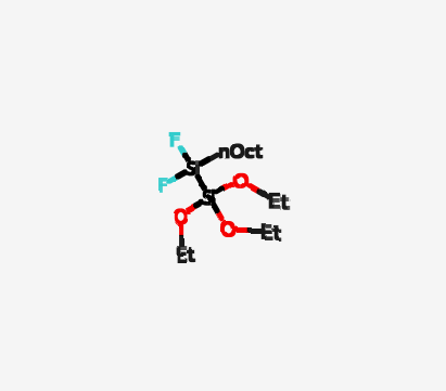 CCCCCCCC[Si](F)(F)[Si](OCC)(OCC)OCC